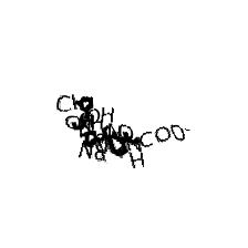 O=C([O-])CNC(=O)c1cccc2c(Oc3ccc(C[C@@H](CO)NC[C@H](O)c4cccc(Cl)c4)cc3)ccnc12.[Na+]